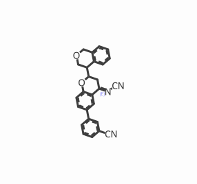 N#C/N=C1\CC(C2COCc3ccccc32)Oc2ccc(-c3cccc(C#N)c3)cc21